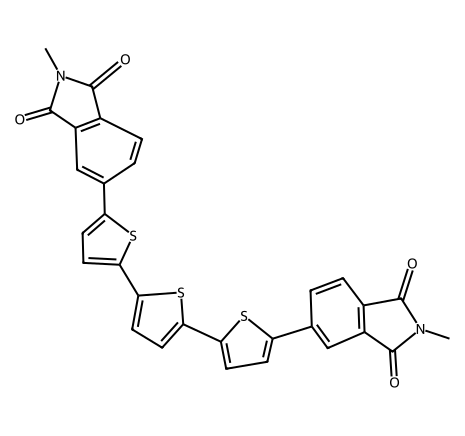 CN1C(=O)c2ccc(-c3ccc(-c4ccc(-c5ccc(-c6ccc7c(c6)C(=O)N(C)C7=O)s5)s4)s3)cc2C1=O